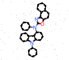 c1ccc(N(c2nc3c(ccc4ccccc43)o2)c2cccc3c2c2ccccc2n3-c2ccccc2)cc1